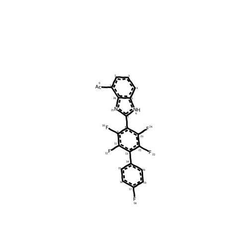 CC(=O)c1cccc2[nH]c(-c3c(F)c(F)c(-c4ccc(F)cc4)c(F)c3F)nc12